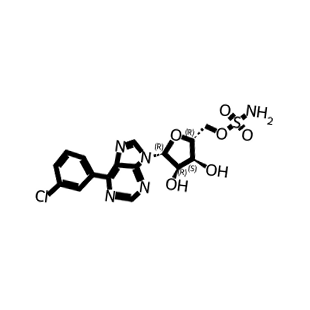 NS(=O)(=O)OC[C@H]1O[C@@H](n2cnc3c(-c4cccc(Cl)c4)ncnc32)[C@H](O)[C@@H]1O